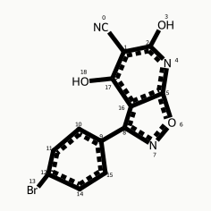 N#Cc1c(O)nc2onc(-c3ccc(Br)cc3)c2c1O